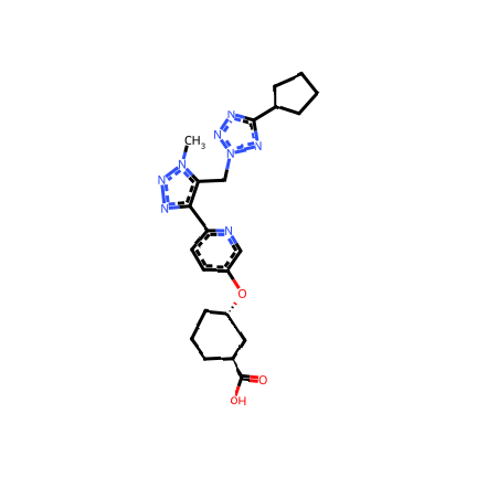 Cn1nnc(-c2ccc(O[C@H]3CCC[C@H](C(=O)O)C3)cn2)c1Cn1nnc(C2CCCC2)n1